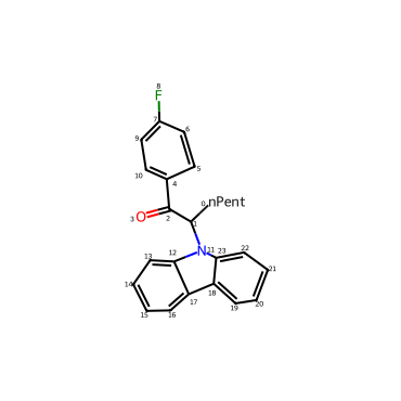 CCCCCC(C(=O)c1ccc(F)cc1)n1c2ccccc2c2ccccc21